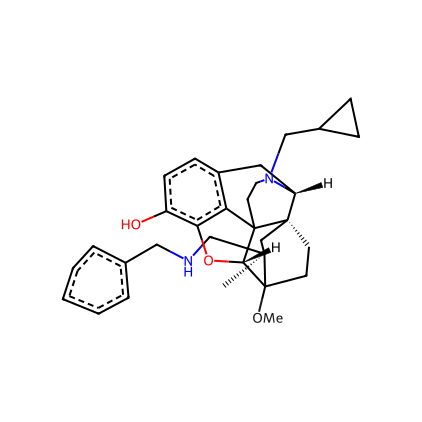 COC12CC[C@@]3(C[C@]1(C)CNCc1ccccc1)[C@H]1Cc4ccc(O)c5c4C3(CCN1CC1CC1)[C@H]2O5